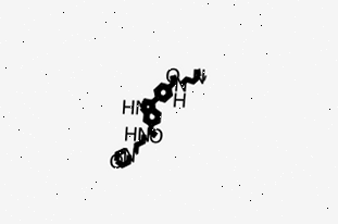 CN(C)CCNC(=O)c1ccc(-c2c[nH]c3cc(C(=O)NCCCN4CCOCC4)ccc23)cc1